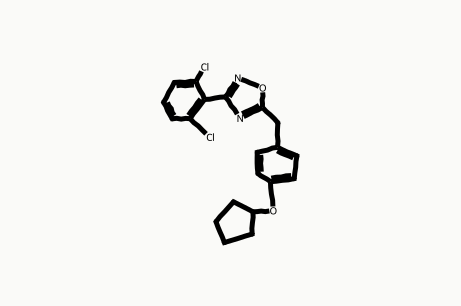 Clc1cccc(Cl)c1-c1noc(Cc2ccc(OC3CCCC3)cc2)n1